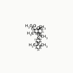 CC(=O)O[C@@H]1[CH][C@@]2(O)[C@H](C)CC[C@@H](C(C)CN3CCN(c4c(C)cccc4C)CC3)[C@H]2C=C1C